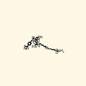 Cc1ncsc1-c1ccc(CNC(=O)[C@@H]2C[C@@H](O)CN2C(=O)[C@@H](NC(=O)CCCCCOCCCCCCOC(N)=O)C(C)(C)S)cc1